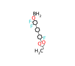 BCOc1ccc(-c2ccc(-c3ccc(C4OCC(C=C)CO4)c(F)c3)cc2)c(F)c1F